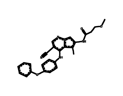 COCCC(=O)Nc1cn2ncc(C#N)c(Nc3ccc(Oc4ccccc4)cc3)c2c1C